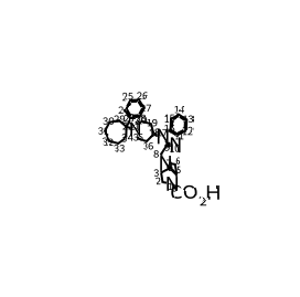 O=C(O)N1CC2CC1CN2Cc1nc2ccccc2n1C1CCN(C2(c3ccccc3)CCCCCC2)CC1